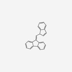 C1=CC(C=C2c3ccccc3-c3ccccc32)c2ccccc21